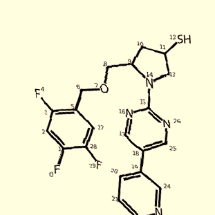 Fc1cc(F)c(COCC2CC(S)CN2c2ncc(-c3cccnc3)cn2)cc1F